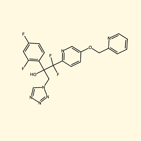 OC(Cn1cnnn1)(c1ccc(F)cc1F)C(F)(F)c1ccc(OCc2ccccn2)cn1